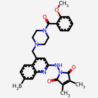 Bc1ccc2c(CN3CCN(C(=O)c4ccccc4OC)CC3)cc(NN3C(=O)C(C)=C(C)C3=O)nc2c1